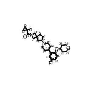 O=C(N1CC2(CC[C@@H](N3CCC(c4cc(F)ccc4OC4CCOCC4)CC3)C2)C1)C1(F)CC1